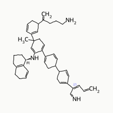 C=C/C=C(\C=N)C1=CCC(C2C=CC(C3=CCC(C)(C4=CC(C(=C)CCCN)CC=C4)C=C3N[C@@H]3CCCC4=C3C=CCC4)=CC2)C=C1